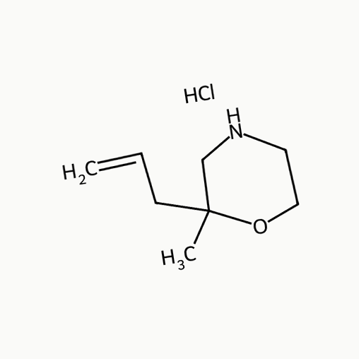 C=CCC1(C)CNCCO1.Cl